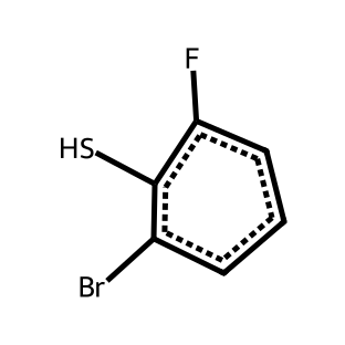 Fc1cccc(Br)c1S